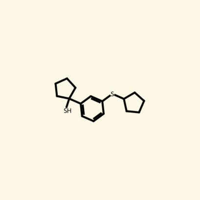 SC1(c2cccc(SC3CCCC3)c2)CCCC1